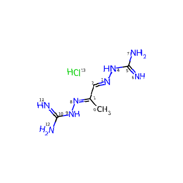 CC(/C=N/NC(=N)N)=N\NC(=N)N.Cl